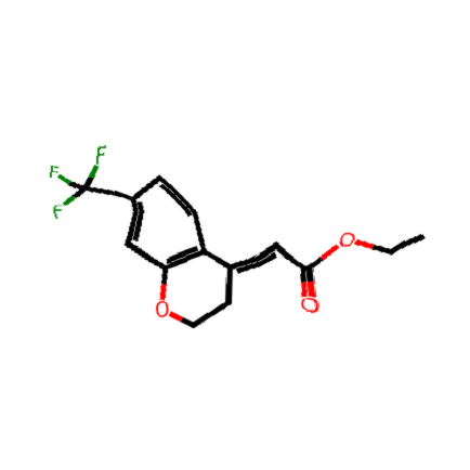 CCOC(=O)C=C1CCOc2cc(C(F)(F)F)ccc21